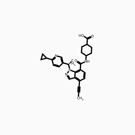 CC#Cc1ccc(C(=O)NC2CCC(C(=O)O)CC2)c2c1cnn2[C@H](C)c1ccc(C2CC2)nc1